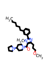 CCCCCCc1cccc(-c2nc(CCCOC)c(C(=O)N3CCC(N4CCCC4)CC3)n2C)c1